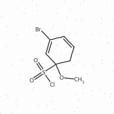 COC1(S(=O)(=O)Cl)C=C(Br)C=CC1